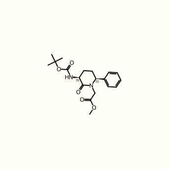 COC(=O)CN1C(=O)[C@@H](NC(=O)OC(C)(C)C)CC[C@H]1c1ccccc1